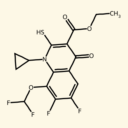 CCOC(=O)c1c(S)n(C2CC2)c2c(OC(F)F)c(F)c(F)cc2c1=O